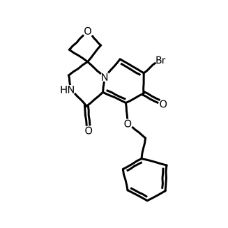 O=C1NCC2(COC2)n2cc(Br)c(=O)c(OCc3ccccc3)c21